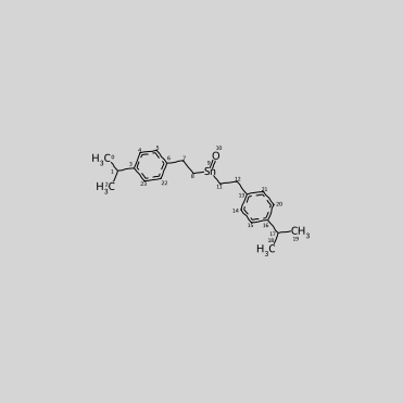 CC(C)c1ccc(C[CH2][Sn](=[O])[CH2]Cc2ccc(C(C)C)cc2)cc1